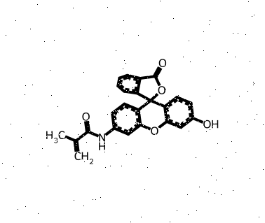 C=C(C)C(=O)Nc1ccc2c(c1)Oc1cc(O)ccc1C21OC(=O)c2ccccc21